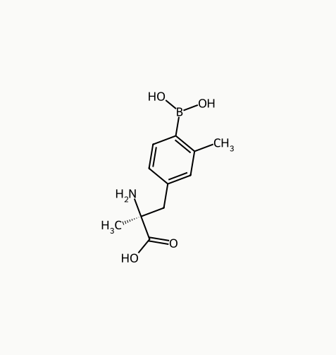 Cc1cc(C[C@](C)(N)C(=O)O)ccc1B(O)O